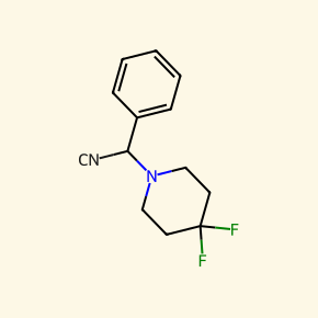 [C-]#[N+]C(c1ccccc1)N1CCC(F)(F)CC1